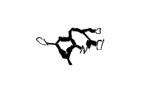 Cc1cc(Cl)cc2cc(C=O)c(Cl)nc12